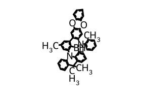 Cc1cc(-c2cc3c(cc2Nc2ccccc2C)Oc2ccccc2O3)c2c(c1)N1c3ccccc3C(C)(C)c3cccc(c31)B2